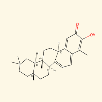 CC1=C(O)C(=O)C=C2C1=CC=C1[C@@]2(C)CC[C@@]2(C)[C@@H]3CC(C)(C)CC[C@@]3(C)CC[C@]12C